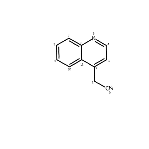 N#CCc1ccnc2ccccc12